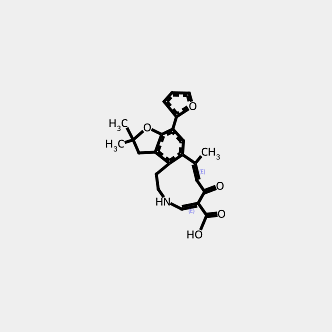 C/C1=C\C(=O)/C(C(=O)O)=C\NCCc2c1cc(-c1ccco1)c1c2CC(C)(C)O1